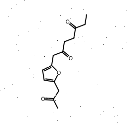 CCC(=O)CCC(=O)Cc1ccc(CC(C)=O)o1